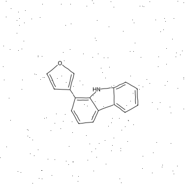 c1ccc2c(c1)[nH]c1c(-c3ccoc3)cccc12